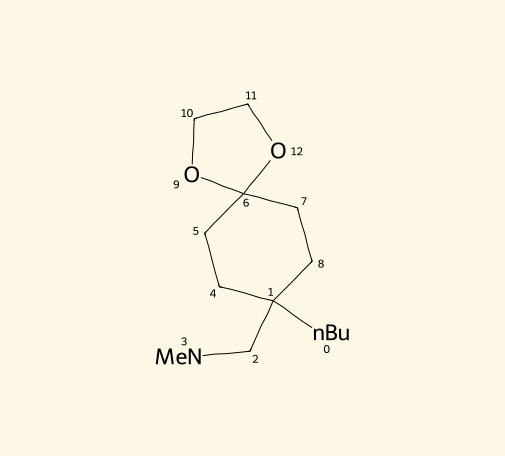 CCCCC1(CNC)CCC2(CC1)OCCO2